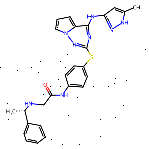 Cc1cc(Nc2nc(Sc3ccc(NC(=O)CN[C@@H](C)c4ccccc4)cc3)nn3cccc23)n[nH]1